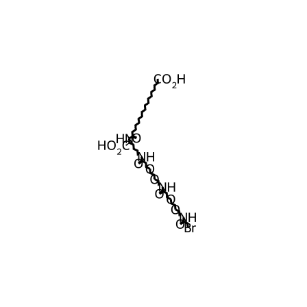 O=C(O)CCCCCCCCCCCCCCCCC(=O)N[C@@H](CCCCNC(=O)CCOCCOCCNC(=O)CCOCCOCCNC(=O)CBr)C(=O)O